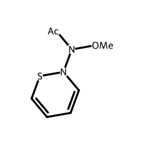 CON(C(C)=O)N1C=CC=CS1